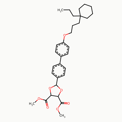 CCCC1(CCCOc2ccc(-c3ccc(C4OC(C(=O)OC)C(C(=O)OC)O4)cc3)cc2)CCCCC1